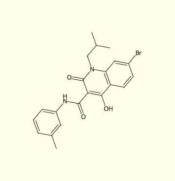 Cc1cccc(NC(=O)c2c(O)c3ccc(Br)cc3n(CC(C)C)c2=O)c1